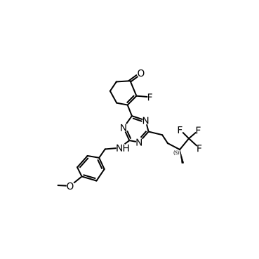 COc1ccc(CNc2nc(CC[C@H](C)C(F)(F)F)nc(C3=C(F)C(=O)CCC3)n2)cc1